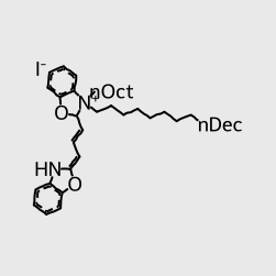 CCCCCCCCCCCCCCCCCC[N+]1(CCCCCCCC)c2ccccc2OC1C=CC=C1Nc2ccccc2O1.[I-]